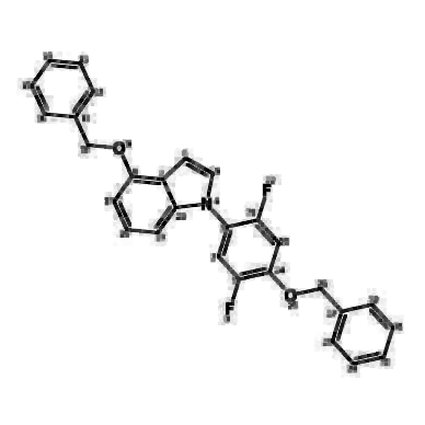 Fc1cc(-n2ccc3c(OCc4ccccc4)cccc32)c(F)cc1OCc1ccccc1